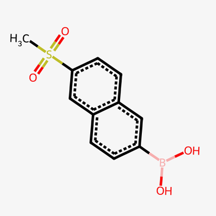 CS(=O)(=O)c1ccc2cc(B(O)O)ccc2c1